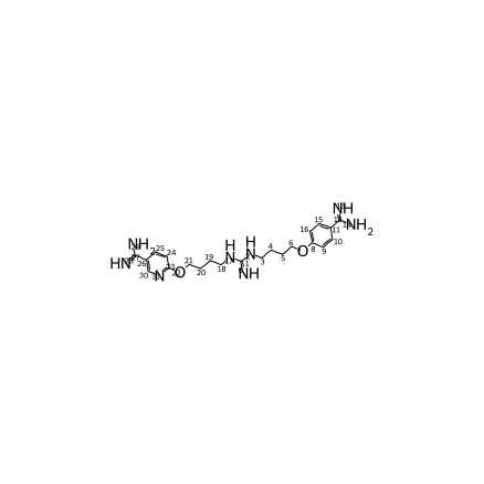 N=C(NCCCCOc1ccc(C(=N)N)cc1)NCCCCOc1ccc(C(=N)N)cn1